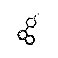 CCCN1C[CH][C](c2nccc3ccccc23)CC1